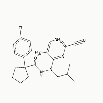 BC(=C/N)/C(=N\C(=C)C#N)N(CC(C)C)NC(=O)C1(c2ccc(Cl)cc2)CCCC1